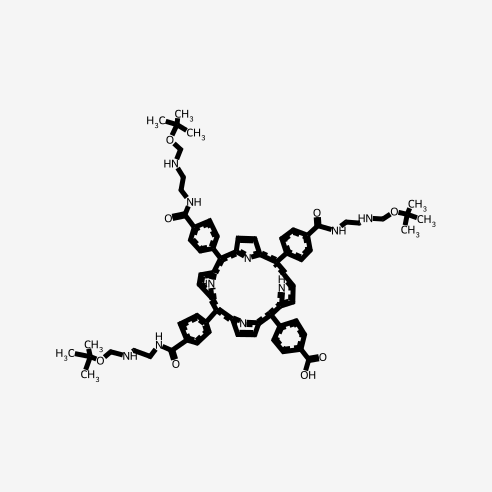 CC(C)(C)OCNCCNC(=O)c1ccc(-c2c3nc(c(-c4ccc(C(=O)NCCNCOC(C)(C)C)cc4)c4ccc([nH]4)c(-c4ccc(C(=O)NCCNCOC(C)(C)C)cc4)c4nc(c(-c5ccc(C(=O)O)cc5)c5ccc2[nH]5)C=C4)C=C3)cc1